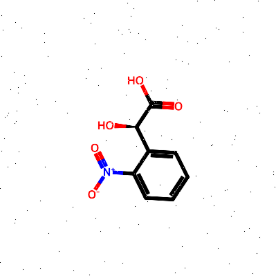 O=C(O)[C@H](O)c1ccccc1[N+](=O)[O-]